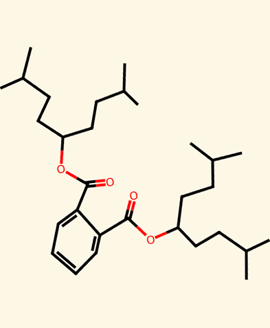 CC(C)CCC(CCC(C)C)OC(=O)c1ccccc1C(=O)OC(CCC(C)C)CCC(C)C